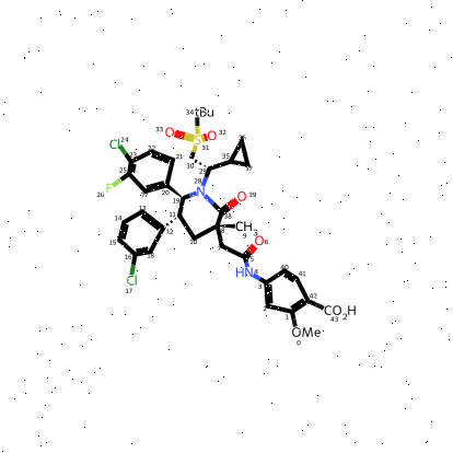 COc1cc(NC(=O)C[C@]2(C)C[C@H](c3cccc(Cl)c3)[C@@H](c3ccc(Cl)c(F)c3)N([C@H](CS(=O)(=O)C(C)(C)C)C3CC3)C2=O)ccc1C(=O)O